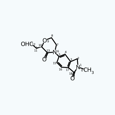 CN1Cc2cc(N3CCO[C@H]([CH]C=O)C3=O)ccc2C1=O